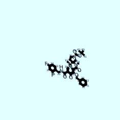 CN1C(=O)c2c(OCc3ccccc3)c(=O)c(C(=O)NCc3ccc(F)cc3F)cn2N(C)C12CCN(C(=O)OC(C)(C)C)C2